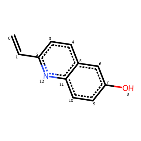 C=Cc1ccc2cc(O)ccc2n1